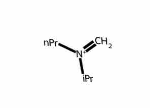 C=[N+](CCC)C(C)C